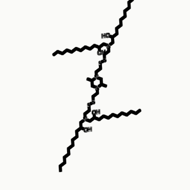 CCCCCCCCCCC(O)CN(CCSSCCN1CC(C)N(CCSSCCN(CC(O)CCCCCCCCCC)CC(O)CCCCCCCCCC)CC1C)CC(O)CCCCCCCCCC